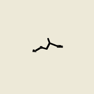 CSC(C)COC(C)=O